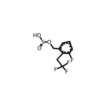 O=S(O)OCc1cccc(F)c1CC(F)(F)F